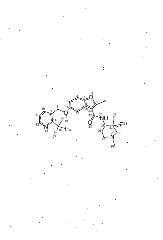 Cc1oc2ccc(OCc3cccnc3C(F)(F)F)cc2c1C(=O)NC1CCN(C)CC1(F)F